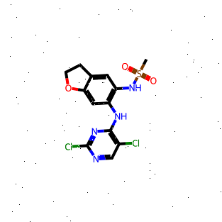 CS(=O)(=O)Nc1cc2c(cc1Nc1nc(Cl)ncc1Cl)OCC2